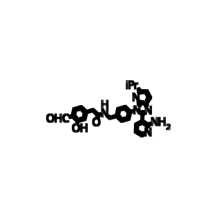 CC(C)c1ccc2nc(-c3cccnc3N)n(-c3ccc(CNC(=O)Cc4ccc(C=O)c(O)c4)cc3)c2n1